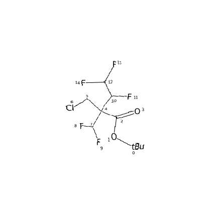 CC(C)(C)OC(=O)C(CCl)(C(F)F)C(F)C(F)F